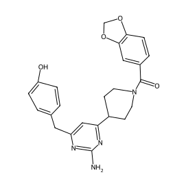 Nc1nc(Cc2ccc(O)cc2)cc(C2CCN(C(=O)c3ccc4c(c3)OCO4)CC2)n1